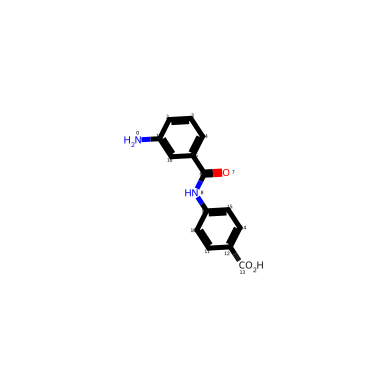 Nc1cccc(C(=O)Nc2ccc(C(=O)O)cc2)c1